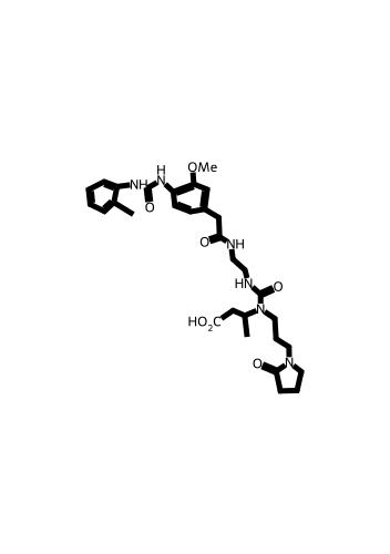 COc1cc(CC(=O)NCCNC(=O)N(CCCN2CCCC2=O)C(C)CC(=O)O)ccc1NC(=O)Nc1ccccc1C